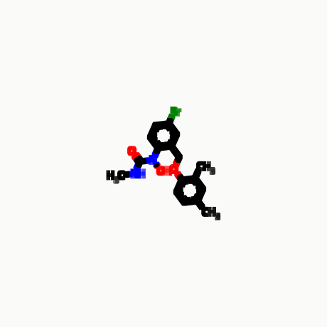 CNC(=O)N(O)c1ccc(Br)cc1COc1ccc(C)cc1C